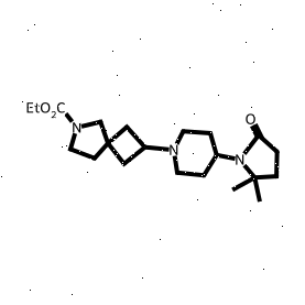 CCOC(=O)N1CCC2(CC(N3CCC(N4C(=O)CCC4(C)C)CC3)C2)C1